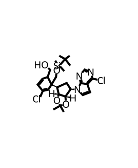 CC1(C)O[C@@H]2[C@H](O1)[C@@H](C1(CO[Si](C)(C)C(C)(C)C)C=C(Cl)C=CC1CO)C[C@H]2n1ccc2c(Cl)ncnc21